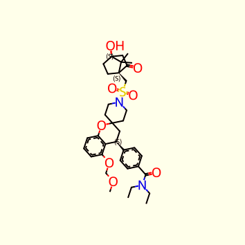 CCN(CC)C(=O)c1ccc([C@@H]2CC3(CCN(S(=O)(=O)C[C@]45CC[C@](O)(CC4=O)C5(C)C)CC3)Oc3cccc(OCOC)c32)cc1